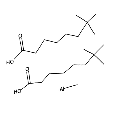 CC(C)(C)CCCCCC(=O)O.CC(C)(C)CCCCCC(=O)O.[CH3][Al]